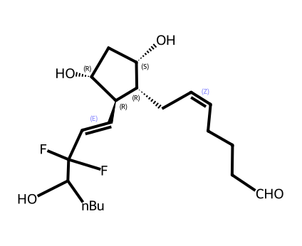 CCCCC(O)C(F)(F)/C=C/[C@@H]1[C@@H](C/C=C\CCCC=O)[C@@H](O)C[C@H]1O